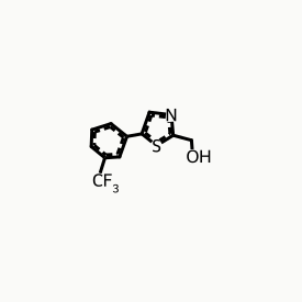 OCc1ncc(-c2cccc(C(F)(F)F)c2)s1